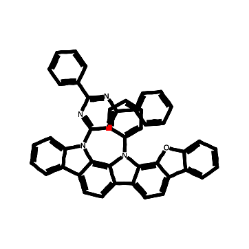 c1ccc(-c2nc(-c3ccccc3)nc(-n3c4ccccc4c4ccc5c6ccc7c8ccccc8oc7c6n(-c6ccccc6)c5c43)n2)cc1